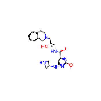 COc1nc(NC2CNC2)cc(C(=O)NC[C@H](O)CN2CCc3ccccc3C2)n1